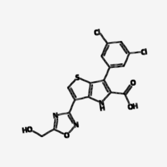 O=C(O)c1[nH]c2c(-c3noc(CO)n3)csc2c1-c1cc(Cl)cc(Cl)c1